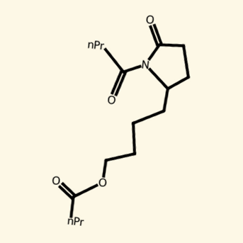 CCCC(=O)OCCCCC1CCC(=O)N1C(=O)CCC